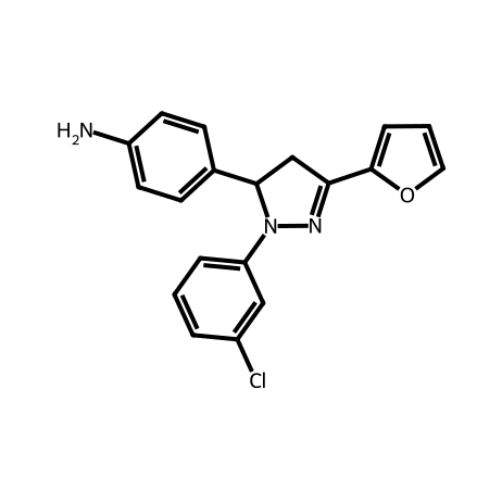 Nc1ccc(C2CC(c3ccco3)=NN2c2cccc(Cl)c2)cc1